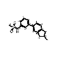 CC1Cc2ccc(-c3cccc(NS(C)(=O)=O)c3)cc2C1